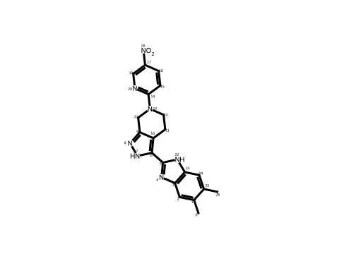 Cc1cc2nc(-c3[nH]nc4c3CCN(c3ccc([N+](=O)[O-])cn3)C4)[nH]c2cc1C